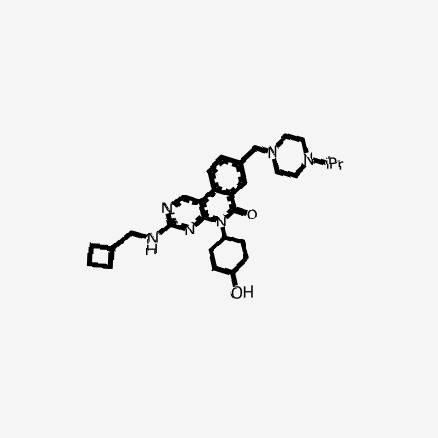 CC(C)N1CCN(Cc2ccc3c(c2)c(=O)n(C2CCC(O)CC2)c2nc(NCC4CCC4)ncc32)CC1